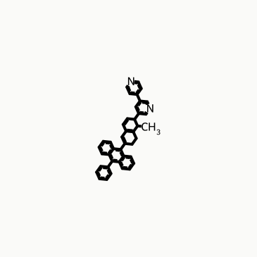 CC1C2=C(C=CC1c1cncc(-c3ccncc3)c1)C=C(c1c3ccccc3c(-c3ccccc3)c3ccccc13)CC2